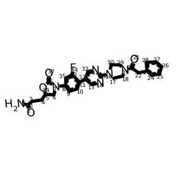 NC(=O)CCC1CN(c2ccc(-c3cnc(N4CCN(C(=O)Cc5ccccc5)CC4)nc3)c(F)c2)C(=O)O1